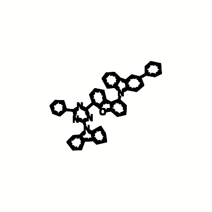 c1ccc(-c2ccc3c(c2)c2ccccc2n3-c2cccc3oc4c(-c5nc(-c6ccccc6)nc(-n6c7ccccc7c7ccccc76)n5)cccc4c23)cc1